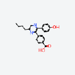 CCCCc1cnc(-c2ccc(O)cc2)c(-c2ccc(C(=O)O)cc2)n1